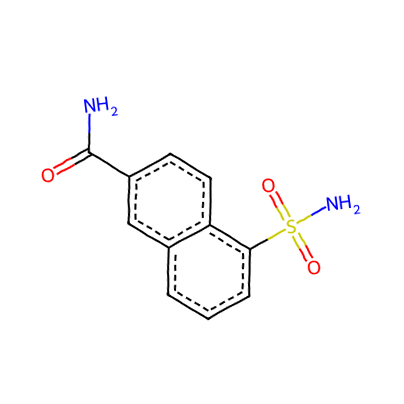 NC(=O)c1ccc2c(S(N)(=O)=O)cccc2c1